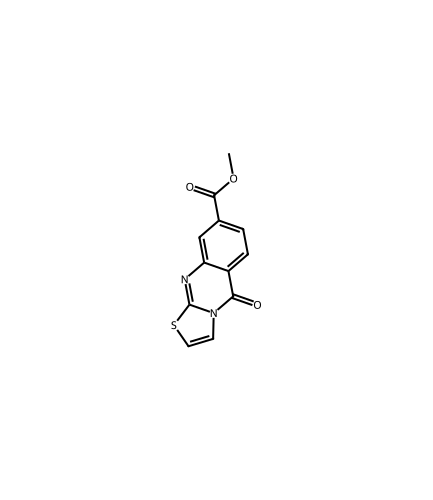 COC(=O)c1ccc2c(=O)n3ccsc3nc2c1